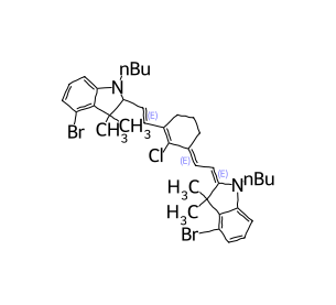 CCCCN1/C(=C/C=C2\CCCC(/C=C/C3N(CCCC)c4cccc(Br)c4C3(C)C)=C2Cl)C(C)(C)c2c(Br)cccc21